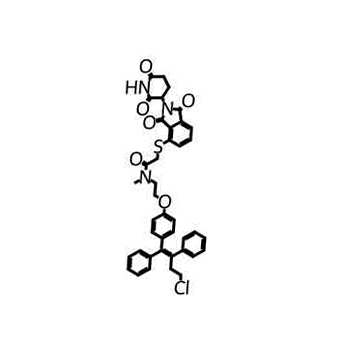 CN(CCOc1ccc(/C(=C(/CCCl)c2ccccc2)c2ccccc2)cc1)C(=O)CSc1cccc2c1C(=O)N(C1CCC(=O)NC1=O)C2=O